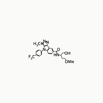 COCCC(CO)NC(=O)c1ccc2c(c1)c1nnn(C)c1n2-c1ccc(C(F)(F)F)cc1